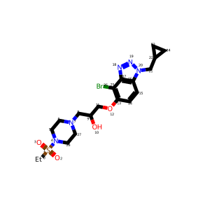 CCS(=O)(=O)N1CCN(CC(O)COc2ccc3c(nnn3CC3CC3)c2Br)CC1